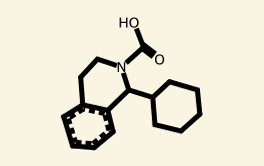 O=C(O)N1CCc2ccccc2C1C1CCCCC1